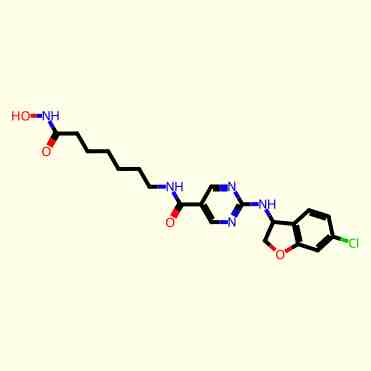 O=C(CCCCCCNC(=O)c1cnc(NC2COc3cc(Cl)ccc32)nc1)NO